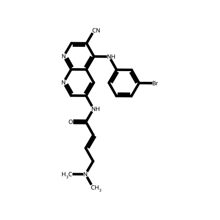 CN(C)CC=CC(=O)Nc1cnc2ncc(C#N)c(Nc3cccc(Br)c3)c2c1